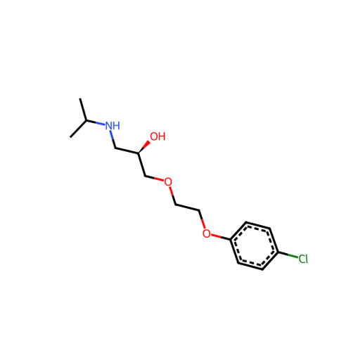 CC(C)NC[C@@H](O)COCCOc1ccc(Cl)cc1